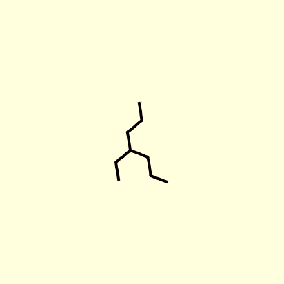 [CH2]CC[C](CC)CCC